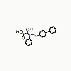 O=C(O)/C(O)=C(/CCc1ccc(-c2ccccc2)cc1)c1ccccc1